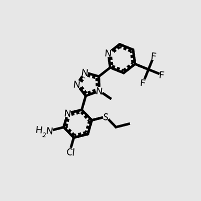 CCSc1cc(Cl)c(N)nc1-c1nnc(-c2cc(C(F)(F)F)ccn2)n1C